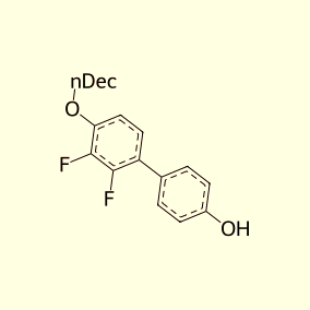 CCCCCCCCCCOc1ccc(-c2ccc(O)cc2)c(F)c1F